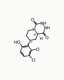 O=C1NNC(=O)N2CC[C@H](c3c(O)ccc(Cl)c3Cl)C[C@H]12